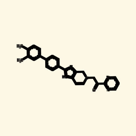 Cc1ccc(-c2ccc(-c3nc4c([nH]3)C=CN(CC(=O)c3ncccn3)C4)cc2)cc1C